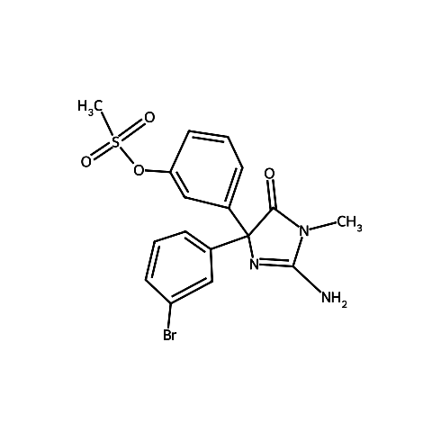 CN1C(=O)C(c2cccc(Br)c2)(c2cccc(OS(C)(=O)=O)c2)N=C1N